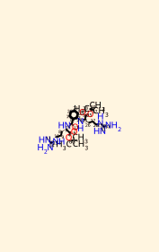 CC(C)(C)OC(=O)[C@H](CCCNC(=N)N)NC(=O)c1ccccc1N[C@@H](CCCNC(=N)N)C(=O)OC(C)(C)C